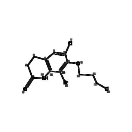 O=C1CCc2cc(Cl)c(OCCCCl)c(Br)c2N1